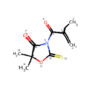 C=C(C)C(=O)N1C(=O)C(C)(C)OC1=S